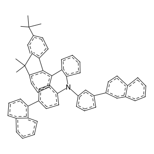 CC(C)(C)c1ccc2c(c1)C(C)(C)c1cccc(-c3ccccc3N(c3ccc(-c4cccc5ccccc45)cc3)c3cccc(-c4ccc5ccccc5c4)c3)c1-2